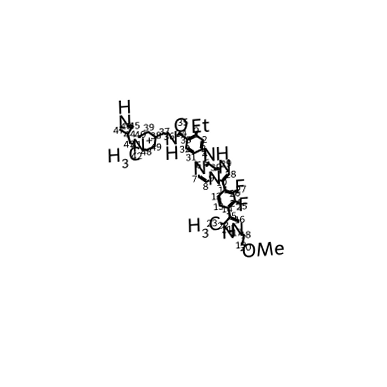 CCc1cc(Nc2nccn3c(-c4ccc(-c5cn(CCOC)nc5C)c(F)c4F)cnc23)ccc1C(=O)NCC1CC[N+](C)(CC2CNC2)CC1